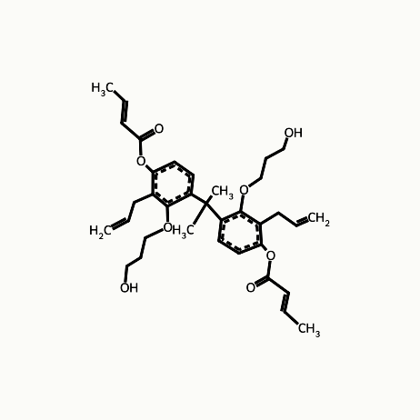 C=CCc1c(OC(=O)C=CC)ccc(C(C)(C)c2ccc(OC(=O)C=CC)c(CC=C)c2OCCCO)c1OCCCO